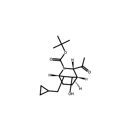 CC(=O)[C@@H]1[C@@H]2CC[C@@H](C(CC3CC3)[C@@H]2O)N1C(=O)OC(C)(C)C